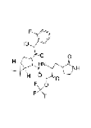 CC1(C)[C@@H]2[C@@H](C(=O)NC(CC3CCNC3=O)C(=O)COC(F)(F)F)N(C(=O)C(O)c3ccccc3F)C[C@@H]21